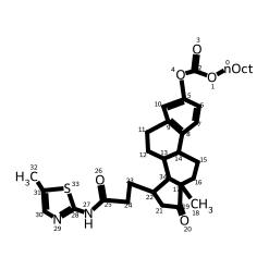 CCCCCCCCOC(=O)Oc1ccc2c(c1)CCC1C2CCC2(C)C(=O)CC(CCC(=O)Nc3ncc(C)s3)C12